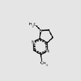 Cc1cnc2c(n1)CCN2C